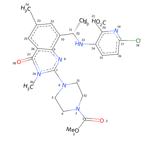 COC(=O)N1CCN(c2nc3c([C@H](C)Nc4ccc(Cl)nc4C(=O)O)cc(C)cc3c(=O)n2C)CC1